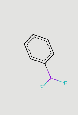 FI(F)c1ccccc1